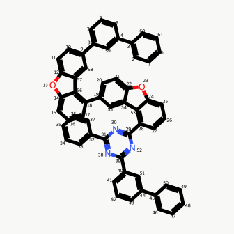 c1ccc(-c2cccc(-c3ccc4oc5cccc(-c6ccc7oc8cccc(-c9nc(-c%10ccccc%10)nc(-c%10cccc(-c%11ccccc%11)c%10)n9)c8c7c6)c5c4c3)c2)cc1